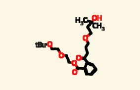 CC(C)(O)CCOCCCC(=O)c1ccccc1C(=O)OCCOCCOC(C)(C)C